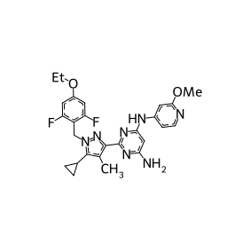 CCOc1cc(F)c(Cn2nc(-c3nc(N)cc(Nc4ccnc(OC)c4)n3)c(C)c2C2CC2)c(F)c1